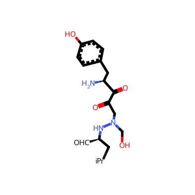 CC(C)C[C@@H](C=O)NN(CO)CC(=O)C(=O)[C@@H](N)Cc1ccc(O)cc1